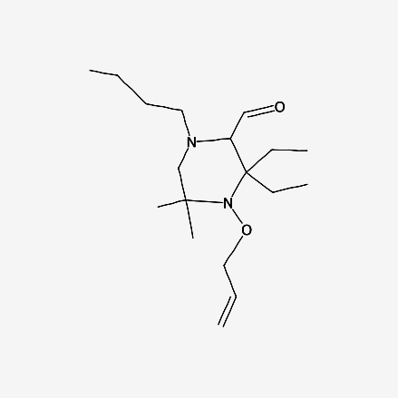 C=CCON1C(C)(C)CN(CCCC)C(C=O)C1(CC)CC